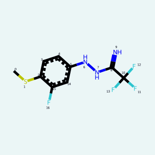 CSc1ccc(NNC(=N)C(F)(F)F)cc1F